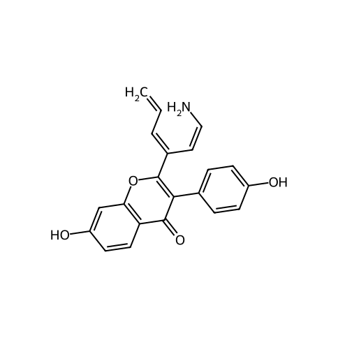 C=C/C=C(\C=C/N)c1oc2cc(O)ccc2c(=O)c1-c1ccc(O)cc1